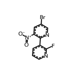 O=[N+]([O-])c1cc(Br)cnc1-c1cccnc1F